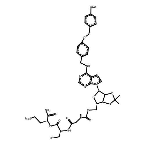 COc1ccc(COc2ccc(CNc3ncnc4c3ncn4[C@@H]3O[C@H](COC(=O)NCC(=O)N[C@@H](CC(C)C)C(=O)N[C@@H](CCSC)C(N)=O)C4OC(C)(C)OC43)cc2)cc1